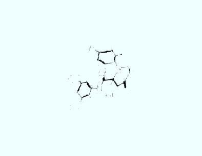 CCCN(C(=O)C1CC(=O)CCN1c1ccc(F)cc1C)c1cc(C(F)(F)F)cc(C(F)(F)F)c1